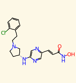 O=C(/C=C/c1cnc(N[C@@H]2CCN(CCc3ccccc3Cl)C2)cn1)NO